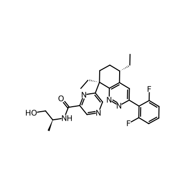 CC[C@H]1CC[C@](CC)(c2cncc(C(=O)N[C@@H](C)CO)n2)c2nnc(-c3c(F)cccc3F)cc21